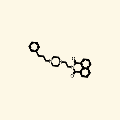 O=C1c2cccc3cccc(c23)C(=O)N1CCN1CCN(CCCc2ccccc2)CC1